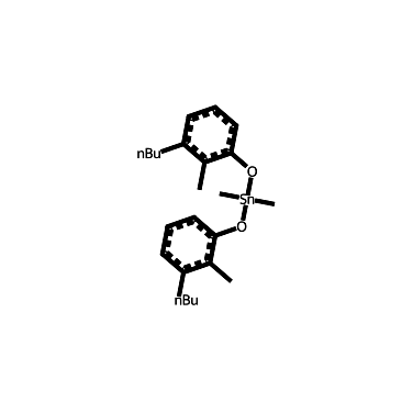 CCCCc1cccc([O][Sn]([CH3])([CH3])[O]c2cccc(CCCC)c2C)c1C